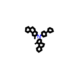 Cc1cc2c(ccc3ccccc32)cc1N(c1ccc(-c2ccccc2)cc1)c1cc(C)c2c(ccc3ccccc32)c1